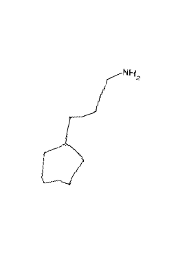 NCCC[C]1CCCC1